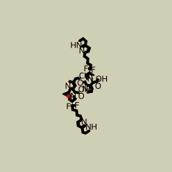 CC(Cc1cnc(C2CC2)c([C@H](C(=O)O)N2CC[C@@H](C(F)(F)CCCCc3ccc4c(n3)NCCC4)C2)c1)OCc1ncccc1[C@@H](C(=O)O)N1CC[C@@H](C(F)(F)CCCCc2ccc3c(n2)NCCC3)C1